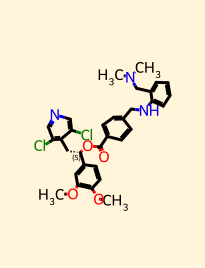 COc1ccc([C@H](Cc2c(Cl)cncc2Cl)OC(=O)c2ccc(CNc3ccccc3CN(C)C)cc2)cc1OC